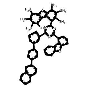 Bc1c(B)c(B)c2c(sc3c(B)c(B)c(B)c(-c4nc(-c5cccc(-c6ccc(-c7ccc8ccccc8c7)cc6)c5)nc(-c5cccc6oc7ccccc7c56)n4)c32)c1B